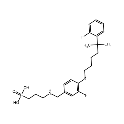 CC(C)(CCCCSc1ccc(CNCCCP(=O)(O)O)cc1F)c1ccccc1F